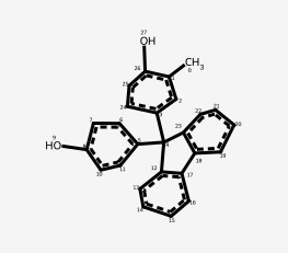 Cc1cc(C2(c3ccc(O)cc3)c3ccccc3-c3ccccc32)ccc1O